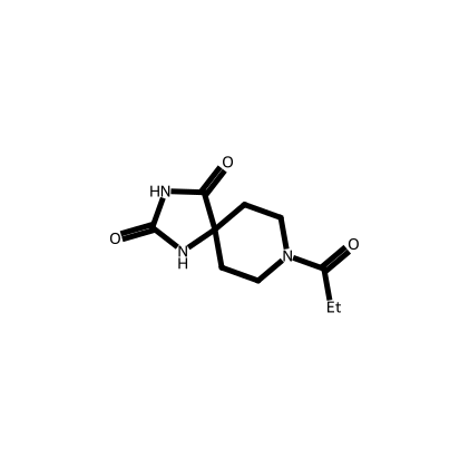 CCC(=O)N1CCC2(CC1)NC(=O)NC2=O